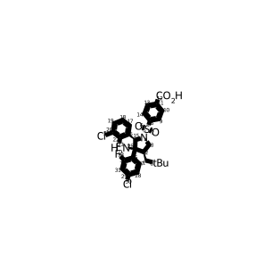 CC(C)(C)C[C@@H]1CN(S(=O)(=O)c2ccc(C(=O)O)cc2)[C@H](c2cccc(Cl)c2F)[C@@]1(N)c1ccc(Cl)cc1F